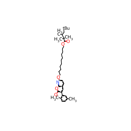 Cc1ccc(C)c(-c2cc3ccc(OCCCCCCCCCCCOC(=O)C(C)(C)C(C)CC(C)(C)C)nc3oc2=O)c1